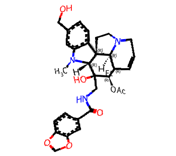 CC[C@]12C=CCN3CC[C@@]4(c5ccc(CO)cc5N(C)[C@H]4C(O)(CNC(=O)c4ccc5c(c4)OCO5)[C@@H]1OC(C)=O)[C@@H]32